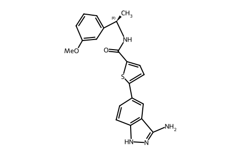 COc1cccc([C@@H](C)NC(=O)c2ccc(-c3ccc4[nH]nc(N)c4c3)s2)c1